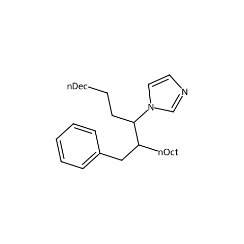 CCCCCCCCCCCCC(C(CCCCCCCC)Cc1ccccc1)n1ccnc1